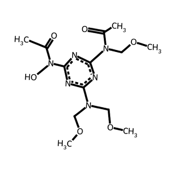 COCN(COC)c1nc(N(O)C(C)=O)nc(N(COC)C(C)=O)n1